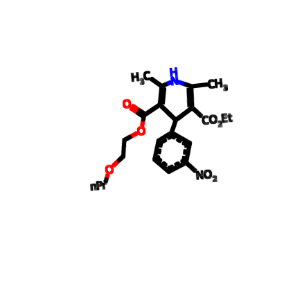 CCCOCCOC(=O)C1=C(C)NC(C)=C(C(=O)OCC)C1c1cccc([N+](=O)[O-])c1